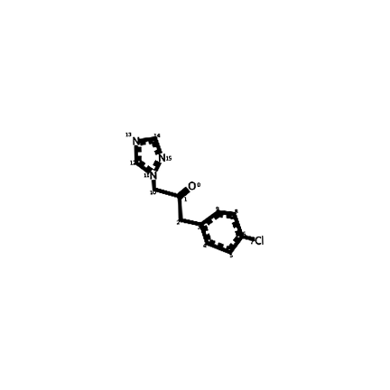 O=C(Cc1ccc(Cl)cc1)Cn1cncn1